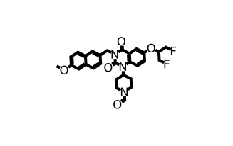 COc1ccc2cc(Cn3c(=O)c4cc(OC(CF)CF)ccc4n(C4CCN(C=O)CC4)c3=O)ccc2c1